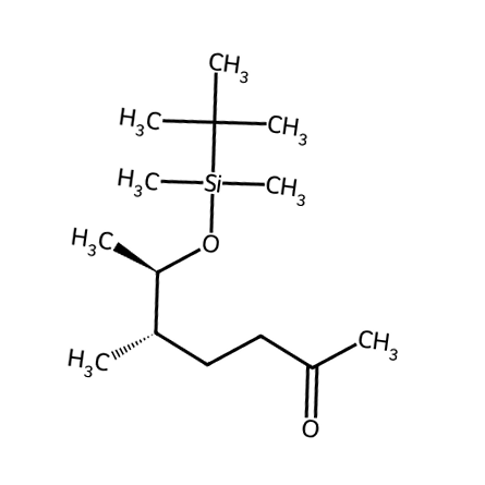 CC(=O)CC[C@H](C)[C@@H](C)O[Si](C)(C)C(C)(C)C